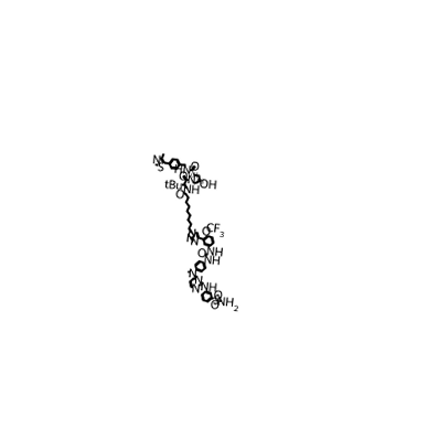 Cc1ncsc1-c1ccc(CNC(=O)[C@@H]2C[C@@H](O)CN2C(=O)C(NC(=O)CCCCCCCCn2cc(-c3cc(NC(=O)Nc4ccc(N(C)c5ccnc(Nc6cccc(S(N)(=O)=O)c6)n5)cc4)ccc3OC(F)(F)F)nn2)C(C)(C)C)cc1